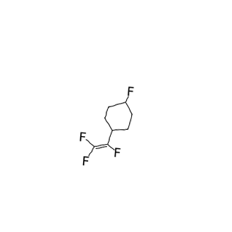 FC(F)=C(F)C1CCC(F)CC1